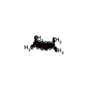 CSCCOc1ccc(OCCSC)c2c1CN1C(=O)N3CN4C(=O)N5CN6C(=O)N7CN8C(=O)N9Cc%10c(OCCSC)ccc(OCCSC)c%10CN%10C(=O)N(CN%11C(=O)N(CN%12C(=O)N(CN3C(=O)N(C2)[C@H]1C)C4[C@@H]5%12)[C@@H]6C%117)C8[C@@]9%10C